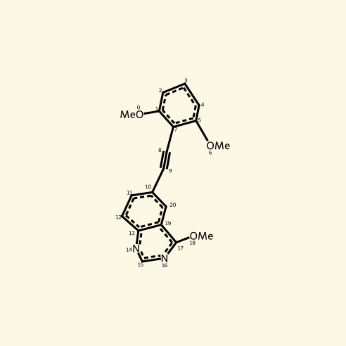 COc1cccc(OC)c1C#Cc1ccc2ncnc(OC)c2c1